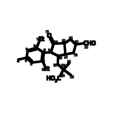 CCc1cc(C)cc(CC)c1C1C(=O)C2CC(C=O)CC2C1CC(C)(C)C(=O)O